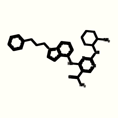 NC(=O)c1cnc(NC2CCCCC2N)nc1Nc1cccc2c1ccn2CCCc1ccccc1